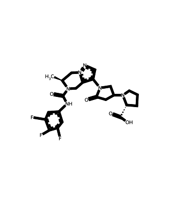 C[C@H]1Cn2ncc(N3CC(N4CCC[C@@H]4C(=O)O)CC3=O)c2CN1C(=O)Nc1cc(F)c(F)c(F)c1